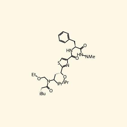 CCCO[C@H](CC(C(C)C)N(COCC)C(=O)C[C@@H](C)CC)c1nc(C(=O)N[C@@H](Cc2ccccc2)C(=O)NNC)cs1